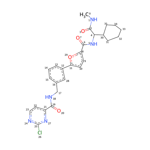 CNC(=O)C(NC(=O)c1ccc(-c2cccc(CNC(=O)c3ccnc(Cl)n3)c2)o1)C1CCCCC1